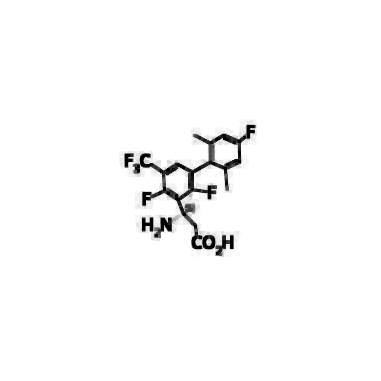 Cc1cc(F)cc(C)c1-c1cc(C(F)(F)F)c(F)c([C@@H](N)CC(=O)O)c1F